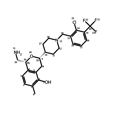 Cc1ccc2c(c1O)C[C@@H](C1CCN(Cc3cccc(C(F)(F)F)c3Cl)CC1)O[C@H]2CN